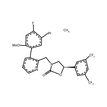 C.COc1cc(F)c(C(C)C)cc1-c1cccnc1CN1C[C@@H](c2cc(C(F)(F)F)cc(C(F)(F)F)c2)OC1=O